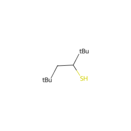 CC(C)(C)CC(S)C(C)(C)C